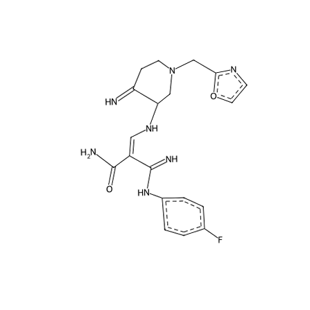 N=C(Nc1ccc(F)cc1)/C(=C\NC1CN(Cc2ncco2)CCC1=N)C(N)=O